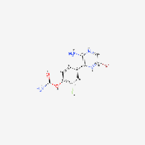 NC(=O)Oc1ccc(-c2nc(Br)cnc2N)cc1F